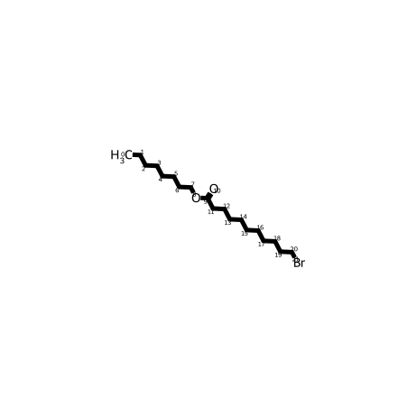 CCCCCCCCOC(=O)CCCCCCCCCCBr